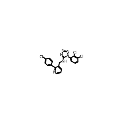 Clc1ccc(-c2ncccc2CNc2nnnn2-c2cccc(Cl)c2Cl)cc1